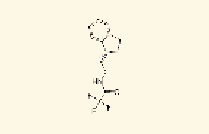 O=C(NC/C=C1\CCc2ccccc21)C(F)(F)F